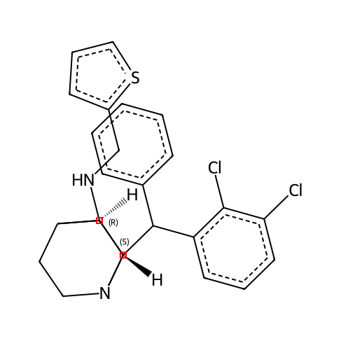 Clc1cccc(C(c2ccccc2)[C@H]2[C@H](NCc3cccs3)C3CCN2CC3)c1Cl